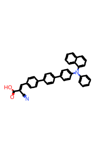 N#C/C(=C\c1ccc(-c2ccc(-c3ccc(N(c4ccccc4)c4cccc5ccccc45)cc3)cc2)cc1)C(=O)O